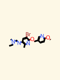 CCN(C)/C=N/c1cc(Br)c(OCc2ccc(OC)nc2)nc1C